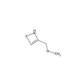 COCc1cs[nH]1